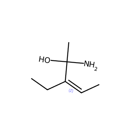 C/C=C(/CC)C(C)(N)O